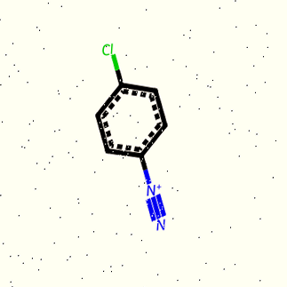 N#[N+]c1ccc(Cl)cc1